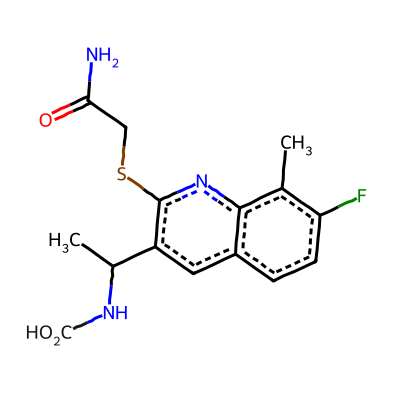 Cc1c(F)ccc2cc(C(C)NC(=O)O)c(SCC(N)=O)nc12